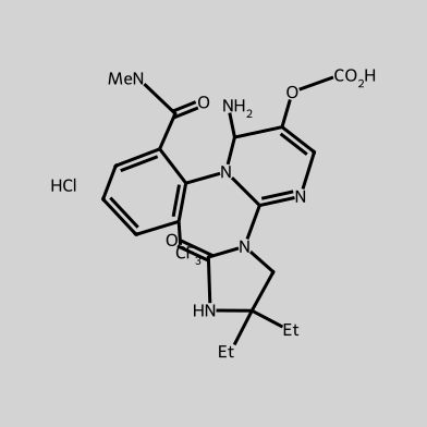 CCC1(CC)CN(C2=NC=C(OC(=O)O)C(N)N2c2c(C(=O)NC)cccc2C(F)(F)F)C(=O)N1.Cl